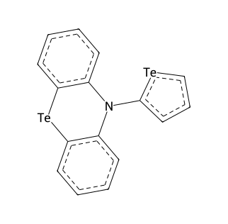 c1c[te]c(N2c3ccccc3[Te]c3ccccc32)c1